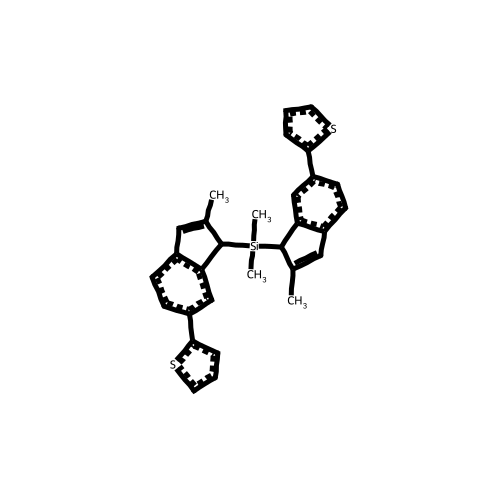 CC1=Cc2ccc(-c3cccs3)cc2C1[Si](C)(C)C1C(C)=Cc2ccc(-c3cccs3)cc21